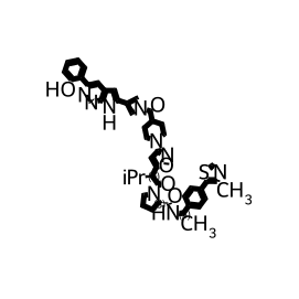 Cc1ncsc1-c1ccc([C@H](C)NC(=O)[C@@H]2CCCN2C(=O)[C@H](c2cc(N3CCC(C(=O)N4CC(c5cc6cc(-c7ccccc7O)nnc6[nH]5)C4)CC3)no2)C(C)C)cc1